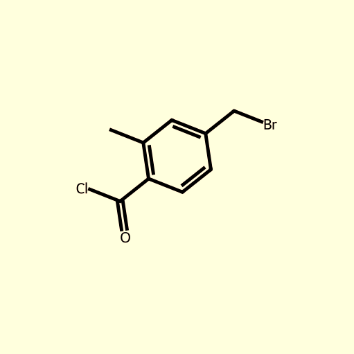 Cc1cc(CBr)ccc1C(=O)Cl